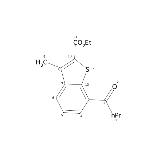 CCCC(=O)c1cccc2c(C)c(C(=O)OCC)sc12